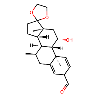 C[C@@H]1CC2=CC(C=O)C=C[C@]2(C)[C@@H]2[C@@H]1[C@@H]1CCC3(OCCO3)[C@@]1(C)C[C@@H]2O